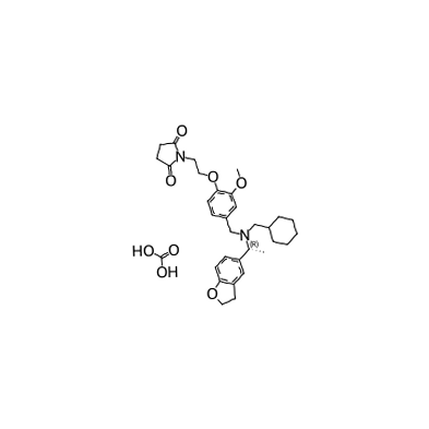 COc1cc(CN(CC2CCCCC2)[C@H](C)c2ccc3c(c2)CCO3)ccc1OCCN1C(=O)CCC1=O.O=C(O)O